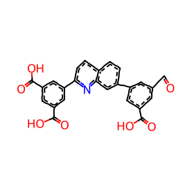 O=Cc1cc(C(=O)O)cc(-c2ccc3ccc(-c4cc(C(=O)O)cc(C(=O)O)c4)nc3c2)c1